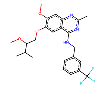 COc1cc2nc(C)nc(NCc3cccc(C(F)(F)F)c3)c2cc1OCC(OC)C(C)C